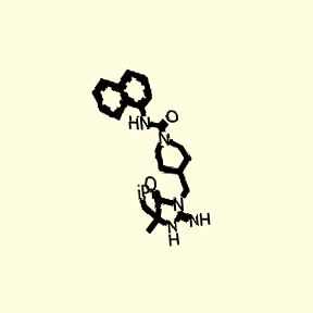 CC(C)CC1(C)NC(=N)N(CC2CCN(C(=O)Nc3cccc4ccccc34)CC2)C1=O